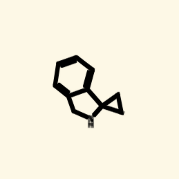 [CH]1CC12NCc1ccccc12